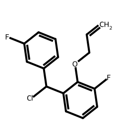 C=CCOc1c(F)cccc1C(Cl)c1cccc(F)c1